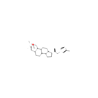 COCC[C@]12CC[C@@](C)(O)C[C@@H]1CC[C@H]1[C@@H]3CC[C@H](C(=O)Cn4cnc(F)c4)[C@@]3(C)CC[C@@H]12